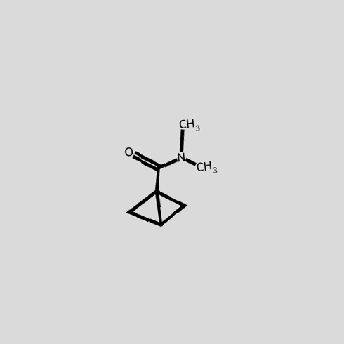 CN(C)C(=O)C12CC1C2